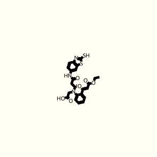 CCOC(=O)/C=C(\O)c1ccccc1N(CCC(=O)Nc1ccc2nc(S)sc2c1)CC(=O)O